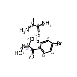 C/C(=N/O)C(=O)c1ccc(Br)cc1.NNC(N)=S